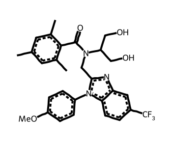 COc1ccc(-n2c(CN(C(=O)c3c(C)cc(C)cc3C)C(CO)CO)nc3cc(C(F)(F)F)ccc32)cc1